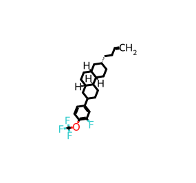 C=CCC[C@@H]1CC[C@H]2[C@H](CC[C@H]3CC(c4ccc(OC(F)(F)F)c(F)c4)CC[C@@H]32)C1